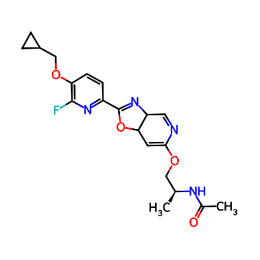 CC(=O)N[C@@H](C)COC1=CC2OC(c3ccc(OCC4CC4)c(F)n3)=NC2C=N1